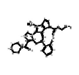 CCOC(=O)C1C=CC2=C1C1=CN(c3ccccc3Cl)CC3N(CNN3C(=O)N3CCOCC3)C1=S2C